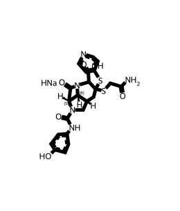 NC(=O)CSC1(Sc2ccncc2)C[C@@H]2CN(C(=O)Nc3ccc(O)cc3)[C@@H]3C(=O)N(C1C(=O)O)[C@H]23.[NaH]